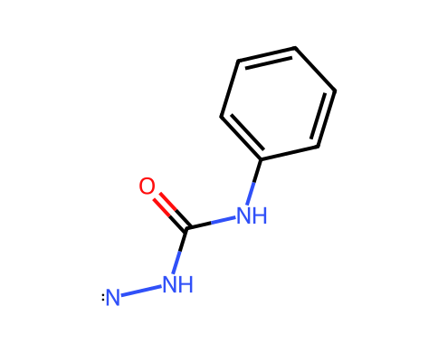 [N]NC(=O)Nc1ccccc1